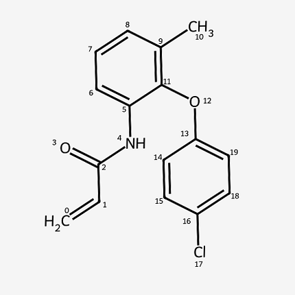 C=CC(=O)Nc1cccc(C)c1Oc1ccc(Cl)cc1